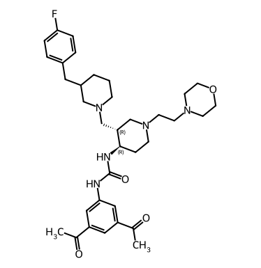 CC(=O)c1cc(NC(=O)N[C@@H]2CCN(CCN3CCOCC3)C[C@H]2CN2CCCC(Cc3ccc(F)cc3)C2)cc(C(C)=O)c1